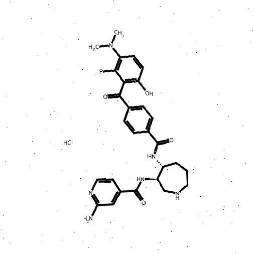 CN(C)c1ccc(O)c(C(=O)c2ccc(C(=O)N[C@@H]3CCCNC[C@H]3NC(=O)c3ccnc(N)c3)cc2)c1F.Cl